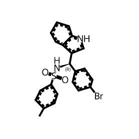 Cc1ccc(S(=O)(=O)N[C@H](c2ccc(Br)cc2)c2c[nH]c3ccccc23)cc1